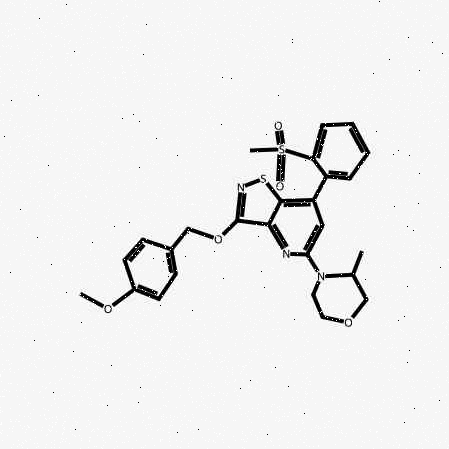 COc1ccc(COc2nsc3c(-c4ccccc4S(C)(=O)=O)cc(N4CCOCC4C)nc23)cc1